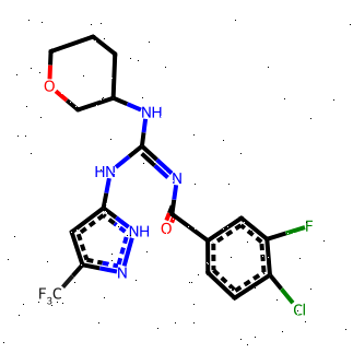 O=C(/N=C(\Nc1cc(C(F)(F)F)n[nH]1)NC1CCCOC1)c1ccc(Cl)c(F)c1